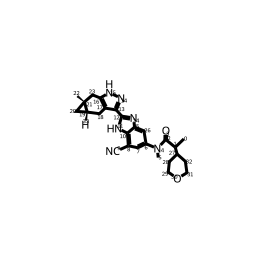 CC(C(=O)N(C)c1cc(C#N)c2[nH]c(-c3n[nH]c4c3C[C@@H]3C[C@]3(C)C4)nc2c1)C1CCOCC1